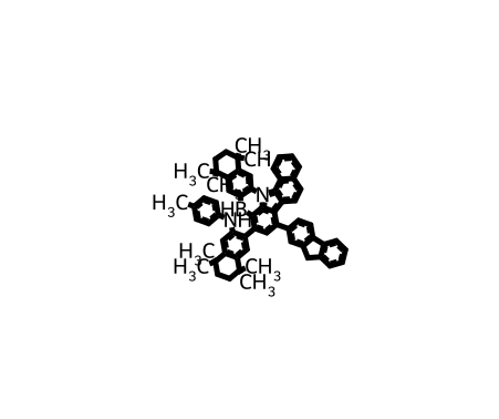 Cc1ccc(Nc2cc3c(cc2-c2cc(-c4ccc5c(c4)Cc4ccccc4-5)c4c5ccc6ccccc6c5n5c4c2Bc2cc4c(cc2-5)C(C)(C)CCC4(C)C)C(C)(C)CCC3(C)C)cc1